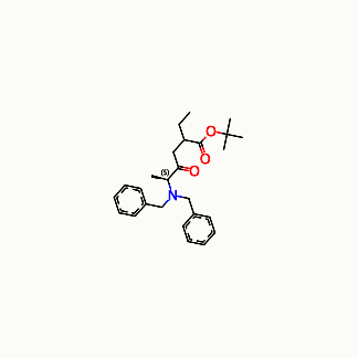 CCC(CC(=O)[C@H](C)N(Cc1ccccc1)Cc1ccccc1)C(=O)OC(C)(C)C